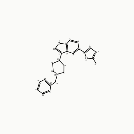 Cc1nnc(-c2ccc3occ(C4CCN(Cc5ccccc5)CC4)c3c2)o1